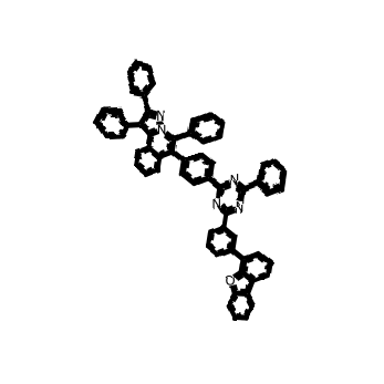 c1ccc(-c2nc(-c3ccc(-c4c(-c5ccccc5)n5nc(-c6ccccc6)c(-c6ccccc6)c5c5ccccc45)cc3)nc(-c3cccc(-c4cccc5c4oc4ccccc45)c3)n2)cc1